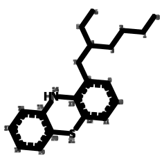 CCCCC(CC)Cc1cccc2c1Nc1ccccc1S2